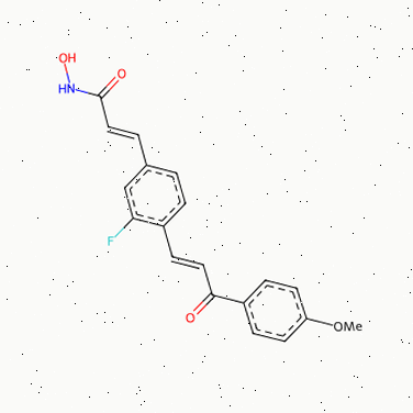 COc1ccc(C(=O)/C=C/c2ccc(/C=C/C(=O)NO)cc2F)cc1